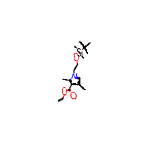 CCOC(=O)c1c(C)cn(CCO[Si](C)(C)C(C)(C)C)c1C